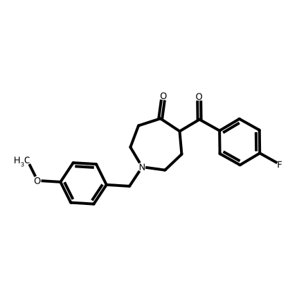 COc1ccc(CN2CCC(=O)C(C(=O)c3ccc(F)cc3)CC2)cc1